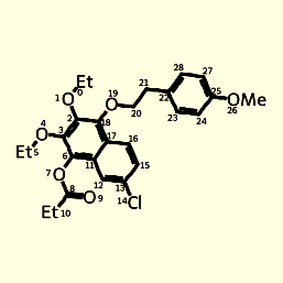 CCOc1c(OCC)c(OC(=O)CC)c2cc(Cl)ccc2c1OCCc1ccc(OC)cc1